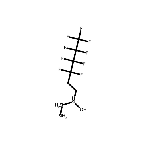 O[SiH](CCC(F)(F)C(F)(F)C(F)(F)C(F)(F)F)[SiH2][SiH3]